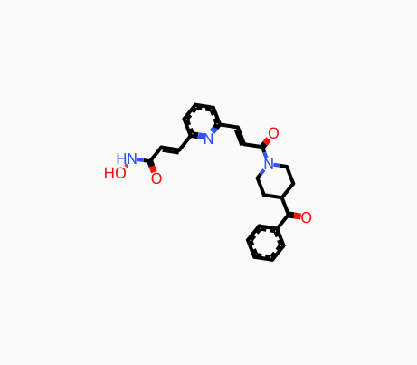 O=C(C=Cc1cccc(C=CC(=O)N2CCC(C(=O)c3ccccc3)CC2)n1)NO